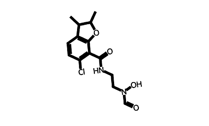 CC1Oc2c(ccc(Cl)c2C(=O)NCCN(O)C=O)C1C